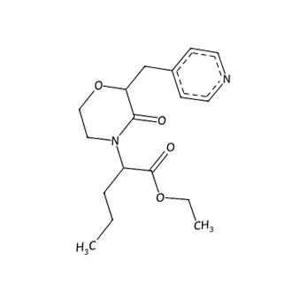 CCCC(C(=O)OCC)N1CCOC(Cc2ccncc2)C1=O